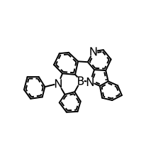 c1ccc(N2c3ccccc3B3c4c(cccc42)-c2nccc4c5ccccc5n3c24)cc1